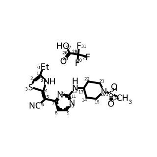 CCC1=CS/C(=C(\C#N)c2ccnc(NC3CCN(S(C)(=O)=O)CC3)n2)N1.O=C(O)C(F)(F)F